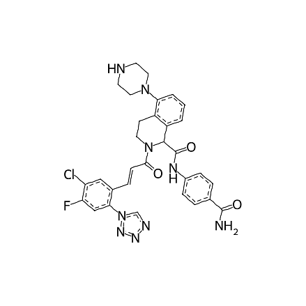 NC(=O)c1ccc(NC(=O)C2c3cccc(N4CCNCC4)c3CCN2C(=O)C=Cc2cc(Cl)c(F)cc2-n2cnnn2)cc1